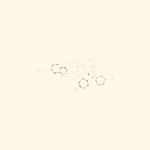 Cc1cc2nn3c(c2cc1C(=O)O)OC[C@H]1[C@@H](C3)[C@H](c2cccc(Cl)c2F)[C@](C)(C(=O)Nc2cccc(Cl)c2)N1CC1CC1